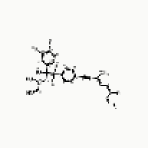 C=C/C(F)=C\C=C(/C)C#Cc1ccc(C(F)(F)C(O)(CN(N)C=N)c2ccc(F)c(F)c2)nc1